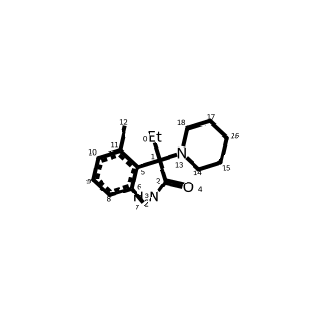 CCC(C(N)=O)(c1c(C)cccc1C)N1CCCCC1